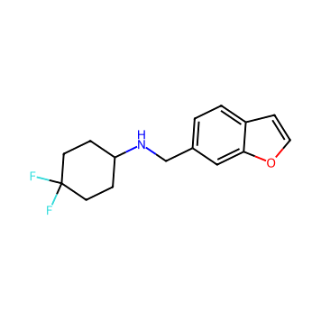 FC1(F)CCC(NCc2ccc3ccoc3c2)CC1